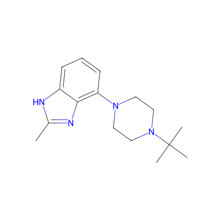 Cc1nc2c(N3CCN(C(C)(C)C)CC3)cccc2[nH]1